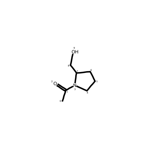 CC(=O)N1CCCC1CO